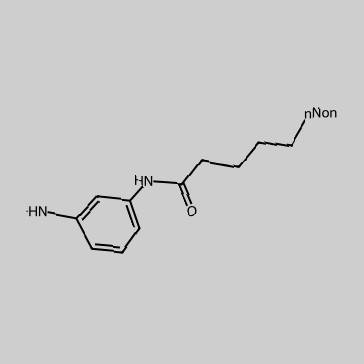 CCCCCCCCCCCCCC(=O)Nc1cccc([NH])c1